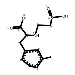 Cc1cccc(CC(NCCS(=O)O)C(=O)O)c1